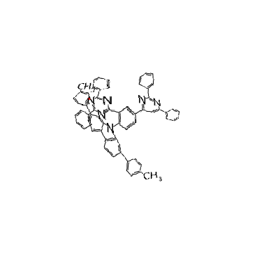 Cc1ccc(-c2ccc3c4ccc(-c5ccc(C)cc5)cc4n(-c4ccc(-c5cc(-c6ccccc6)nc(-c6ccccc6)n5)cc4-c4nc(-c5ccccc5)nc(-c5ccccc5)n4)c3c2)cc1